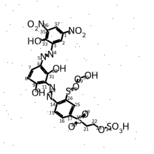 O=[N+]([O-])c1cc(/N=N/c2ccc(O)c(/N=N/c3ccc(S(=O)(=O)CCOS(=O)(=O)O)cc3SOOO)c2O)c(O)c([N+](=O)[O-])c1